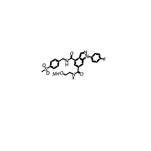 COCCN(C)C(=O)c1cc(C(=O)NCc2ccc(S(C)(=O)=O)cc2)c2cnn(-c3ccc(F)cc3)c2c1